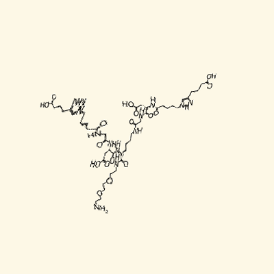 NCCOCCOCCNC(=O)[C@H](CCCCNC(=O)CNC(=O)[C@H](CC(=O)O)NC(=O)CCCCn1cc(CCCC(=O)O)nn1)NC(=O)C(CC(=O)O)NC(=O)CNC(=O)CCCCn1cc(CCCC(=O)O)nn1